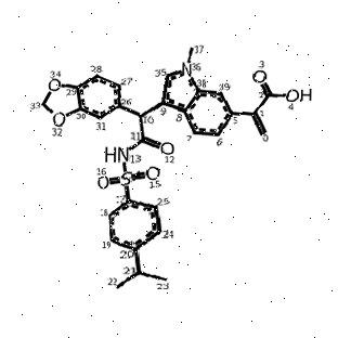 C=C(C(=O)O)c1ccc2c(C(C(=O)NS(=O)(=O)c3ccc(C(C)C)cc3)c3ccc4c(c3)OCO4)cn(C)c2c1